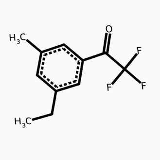 CCc1cc(C)cc(C(=O)C(F)(F)F)c1